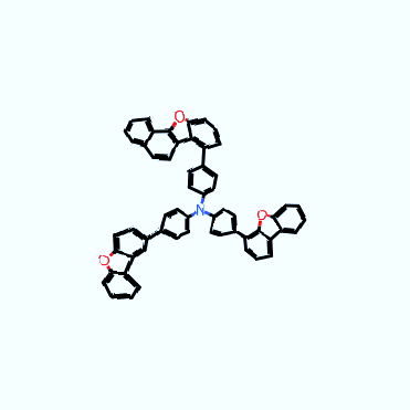 c1ccc2c(c1)ccc1c2oc2cccc(-c3ccc(N(c4ccc(-c5ccc6oc7ccccc7c6c5)cc4)c4ccc(-c5cccc6c5oc5ccccc56)cc4)cc3)c21